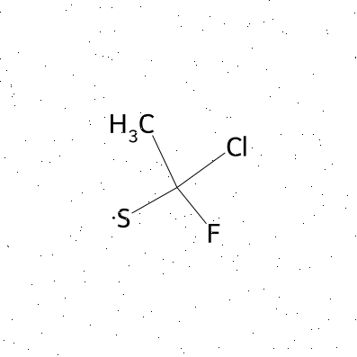 CC(F)([S])Cl